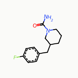 NC(=O)N1CCCC(Cc2ccc(F)cc2)C1